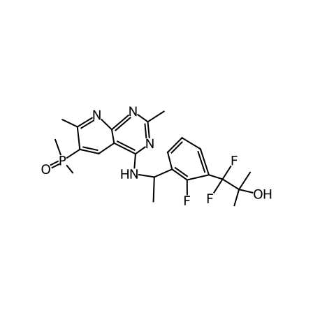 Cc1nc(NC(C)c2cccc(C(F)(F)C(C)(C)O)c2F)c2cc(P(C)(C)=O)c(C)nc2n1